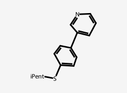 CCCC(C)Sc1ccc(-c2cccnc2)cc1